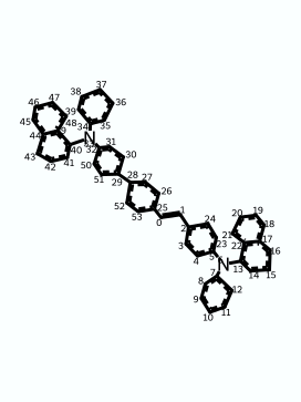 C(=C\c1ccc(N(c2ccccc2)c2cccc3ccccc23)cc1)/c1ccc(-c2ccc(N(c3ccccc3)c3cccc4ccccc34)cc2)cc1